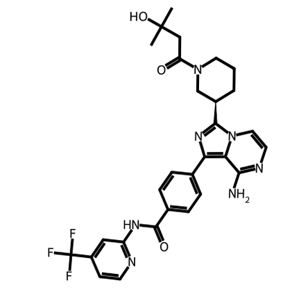 CC(C)(O)CC(=O)N1CCC[C@@H](c2nc(-c3ccc(C(=O)Nc4cc(C(F)(F)F)ccn4)cc3)c3c(N)nccn23)C1